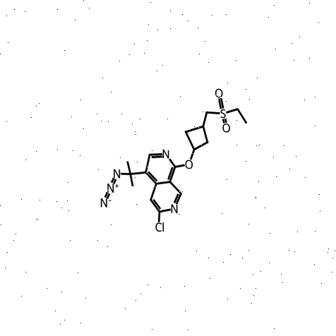 CCS(=O)(=O)CC1CC(Oc2ncc(C(C)(C)N=[N+]=[N-])c3cc(Cl)ncc23)C1